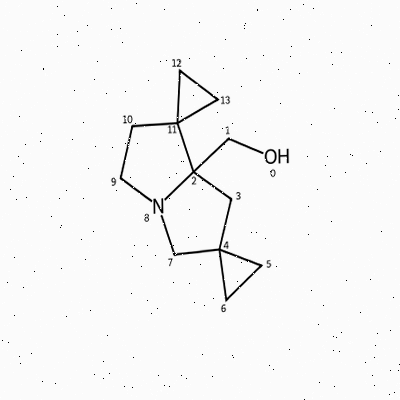 OCC12CC3(CC3)CN1CCC21CC1